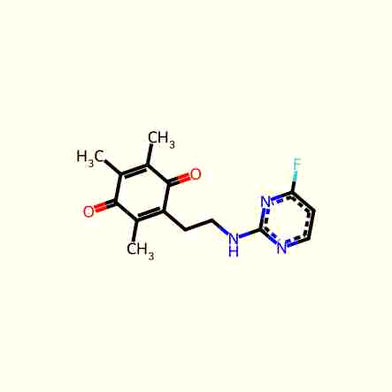 CC1=C(C)C(=O)C(CCNc2nccc(F)n2)=C(C)C1=O